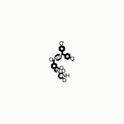 COc1ccc(C(c2ccc(OC)cc2)N2CCN(C(=O)c3ccc4c(c3)C(=O)N(C3CCC(=O)NC3=O)C4)CC2)cc1